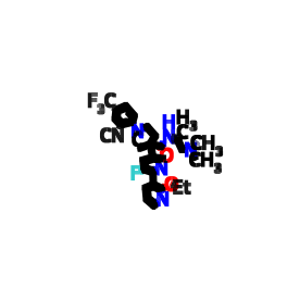 CCOc1ncccc1-c1ncc(C2(C(=O)N[C@@H](C)CN(C)C)CCN(c3ccc(C(F)(F)F)cc3C#N)CC2)cc1F